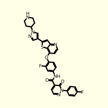 O=C(Nc1ccc(Oc2ccnc3cc(-c4cnn(C5CCNCC5)c4)sc23)c(F)c1)c1ccnn(-c2ccc(F)cc2)c1=O